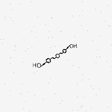 OCC#Cc1ccc(/C=C/C2CCC(/C=C/c3ccc(C#CCO)cc3)CC2)cc1